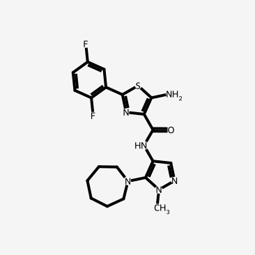 Cn1ncc(NC(=O)c2nc(-c3cc(F)ccc3F)sc2N)c1N1CCCCCC1